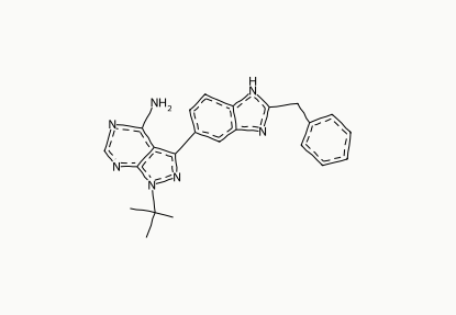 CC(C)(C)n1nc(-c2ccc3[nH]c(Cc4ccccc4)nc3c2)c2c(N)ncnc21